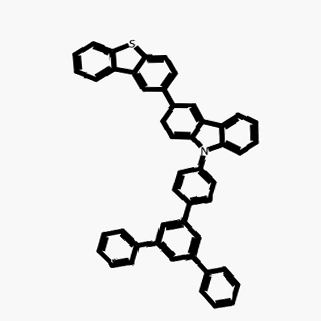 C1=c2c(n(-c3ccc(-c4cc(-c5ccccc5)cc(-c5ccccc5)c4)cc3)c3ccccc23)=CCC1c1ccc2sc3ccccc3c2c1